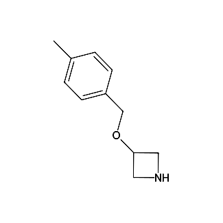 Cc1ccc(COC2CNC2)cc1